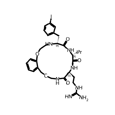 CC(C)[C@H]1NC(=O)[C@@H](Cc2cccc(I)c2)NCCOc2ccccc2CCCNC(=O)[C@H](CCNC(=N)N)NC1=O